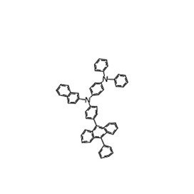 c1ccc(-c2c3ccccc3c(-c3ccc(N(c4ccc(N(c5ccccc5)c5ccccc5)cc4)c4ccc5ccccc5c4)cc3)c3ccccc23)cc1